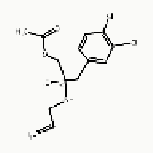 C=CCN[C@](C)(COC(C)=O)Cc1ccc(Cl)c(Cl)c1